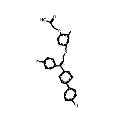 Cc1cc(SC/C=C(\c2ccc(F)cc2)c2ccc(-c3ccc(Cl)cc3)cc2)ccc1OCC(=O)O